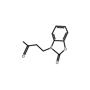 CC(=O)CCn1c(=O)oc2ccccc21